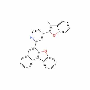 Cc1c(-c2ccnc(-c3cc4ccccc4c4c3oc3ccccc34)c2)oc2ccccc12